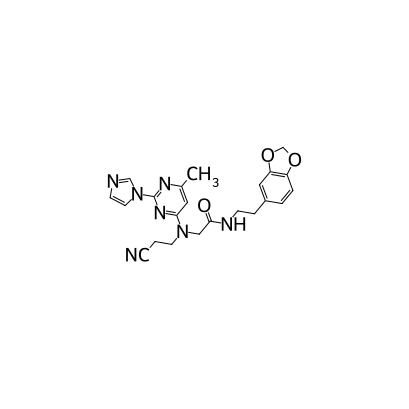 Cc1cc(N(CCC#N)CC(=O)NCCc2ccc3c(c2)OCO3)nc(-n2ccnc2)n1